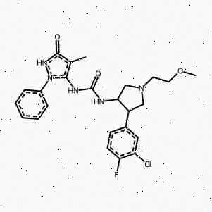 COCCN1CC(NC(=O)Nc2c(C)c(=O)[nH]n2-c2ccccc2)C(c2ccc(F)c(Cl)c2)C1